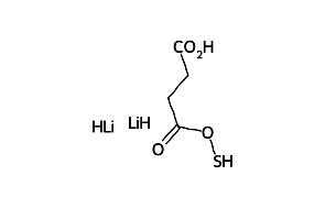 O=C(O)CCC(=O)OS.[LiH].[LiH]